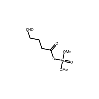 CO[As](=O)(OC)OC(=O)CCCC=O